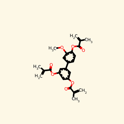 C=C(C)C(=O)Oc1cc(OC(=O)C(=C)C)cc(-c2ccc(OC(=O)C(=C)C)c(OC)c2)c1